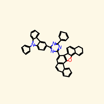 C1=Cc2c(ccc3c2oc2c3c(-c3nc(-c4ccccc4)nc(-c4ccc5c(c4)c4ccccc4n5-c4ccccc4)n3)cc3ccc4ccccc4c32)CC1